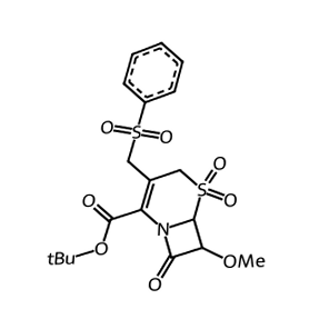 COC1C(=O)N2C(C(=O)OC(C)(C)C)=C(CS(=O)(=O)c3ccccc3)CS(=O)(=O)C12